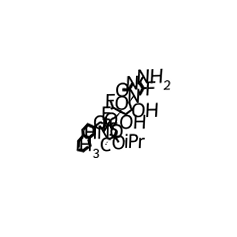 CC(C)OC(=O)[C@H](C)NP(=S)(OC[C@@]1(C(F)F)O[C@@H](n2cc(F)c(N)nc2=O)[C@H](O)[C@H]1O)Oc1ccc2ccccc2c1